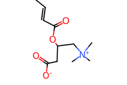 C/C=C/C(=O)OC(CC(=O)[O-])C[N+](C)(C)C